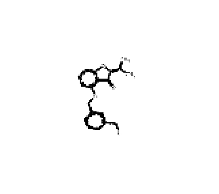 CC(C)=C1Oc2cccc(OCc3cccc(CCl)c3)c2C1=O